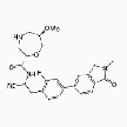 CO[C@@H]1CNC[C@@H](C(=O)NC(C#N)Cc2ccc(-c3ccc4c(c3)CN(C)C4=O)cc2F)OC1